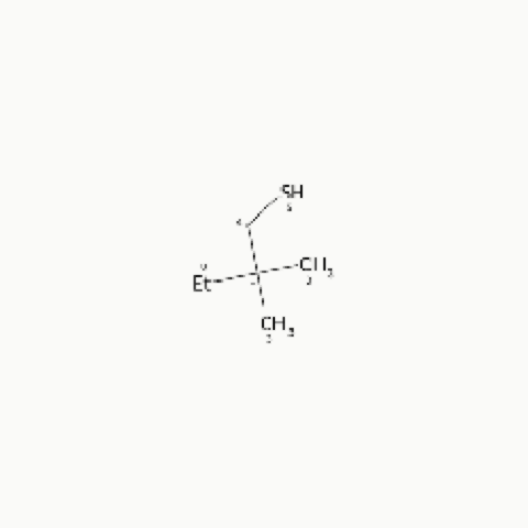 CCC(C)(C)CS